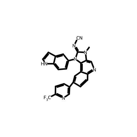 Cn1c(=NC#N)n(-c2ccc3[nH]ccc3c2)c2c3cc(-c4ccc(C(F)(F)F)nc4)ccc3ncc21